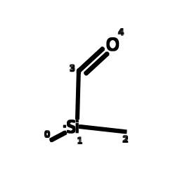 C[Si](C)C=O